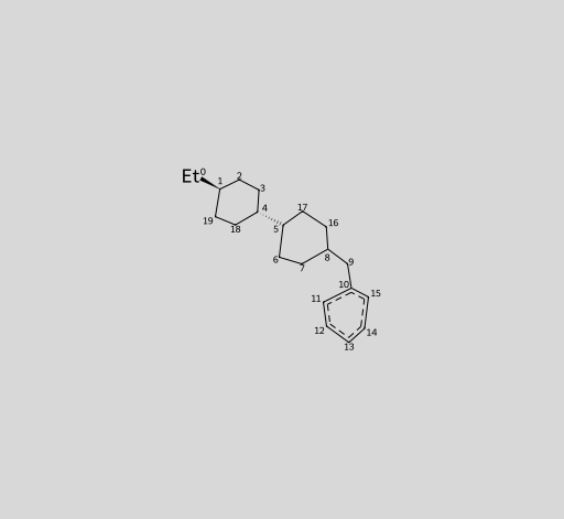 CC[C@H]1CC[C@H](C2CCC(Cc3ccccc3)CC2)CC1